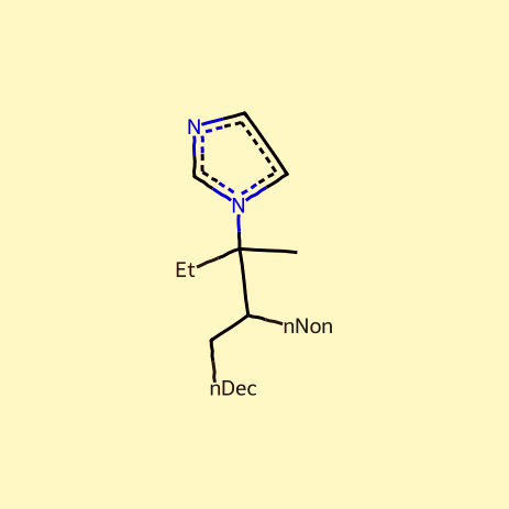 CCCCCCCCCCCC(CCCCCCCCC)C(C)(CC)n1ccnc1